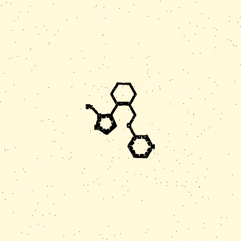 CC(C)n1nccc1C1=C(COc2cccnc2)CCCC1